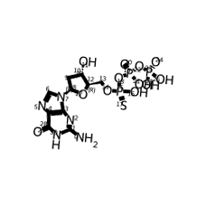 Nc1nc2c(ncn2[C@H]2C[C@H](O)[C@@H](COP(O)(=S)OP(=O)(O)OP(=O)(O)O)O2)c(=O)[nH]1